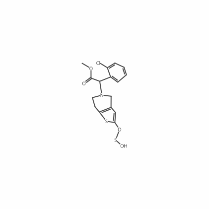 COC(=O)C(c1ccccc1Cl)N1CCc2sc(OSO)cc2C1